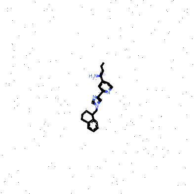 CC/C=C(\N)c1ccnc(-c2cn(CC3CCCc4ccccc43)cn2)c1